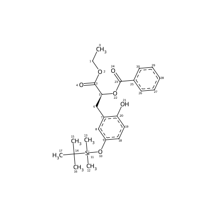 CCOC(=O)[C@H](Cc1cc(O[Si](C)(C)C(C)(C)C)ccc1O)OC(=O)c1ccccc1